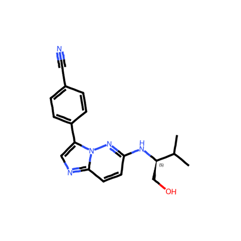 CC(C)[C@@H](CO)Nc1ccc2ncc(-c3ccc(C#N)cc3)n2n1